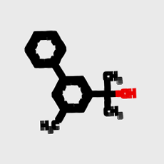 Cc1cc(-c2ccccc2)cc(C(C)(C)O)c1